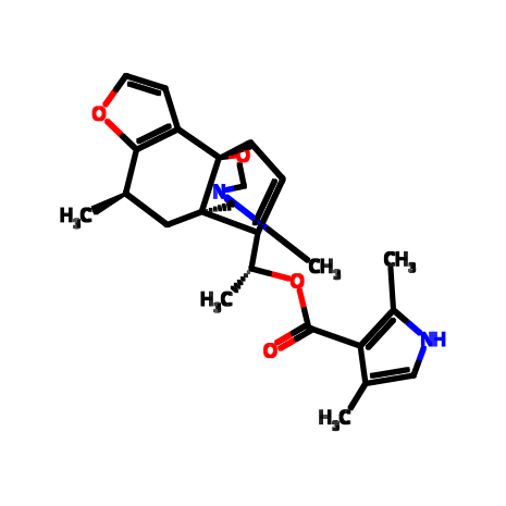 Cc1c[nH]c(C)c1C(=O)O[C@H](C)C1=CC[C@@]23OCCN(C)C[C@@]12C[C@@H](C)c1occc13